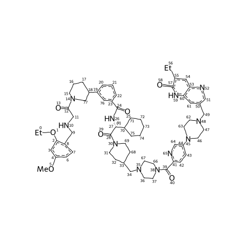 CCOc1cc(OC)ccc1CNCC(=O)N1CCCC(c2cccc(C(=O)N[C@@H](C(=O)N3CCC(CN4CCN(C(=O)c5ccc(N6CCN(Cc7cnc8cc(CC)c(=O)[nH]c8c7)CC6)cn5)CC4)CC3)C3CCCCC3)c2)C1